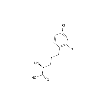 N[C@@H](CCCc1ccc(Cl)cc1F)C(=O)O